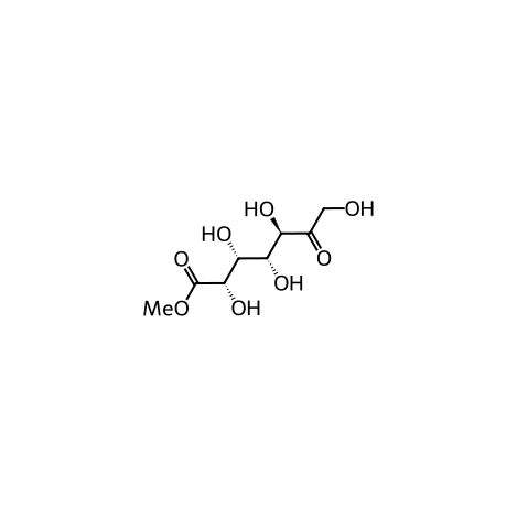 COC(=O)[C@@H](O)[C@H](O)[C@@H](O)[C@@H](O)C(=O)CO